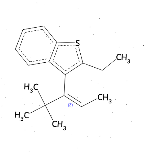 C/C=C(\c1c(CC)sc2ccccc12)C(C)(C)C